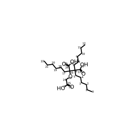 CCCCCCC(CCCCCC)(C(=O)O)C(CCCCCC)(OCC(=O)O)C(=O)O